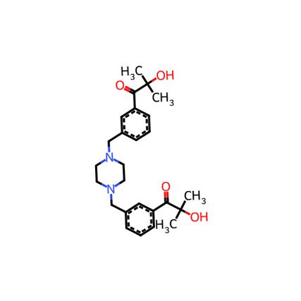 CC(C)(O)C(=O)c1cccc(CN2CCN(Cc3cccc(C(=O)C(C)(C)O)c3)CC2)c1